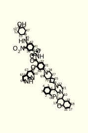 CC(C)c1ccccc1C1CN(CC2CCOC3C=CC=CC23)CCN1C1CC2(CCN(c3ccc(C(=O)NS(=O)(=O)c4ccc(NC[C@H]5CC[C@](C)(O)CC5)c([N+](=O)[O-])c4)c(Oc4cnc5[nH]ccc5c4)c3)CC2)C1